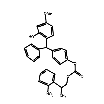 COc1ccc(C(c2ccccc2)c2ccc(OC(=O)OCC(C)c3ccccc3[N+](=O)[O-])cc2)c(O)c1